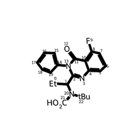 CCC(c1nc2cccc(F)c2c(=O)n1-c1ccccc1)N(C(=O)O)C(C)(C)C